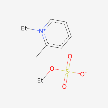 CCOS(=O)(=O)[O-].CC[n+]1ccccc1C